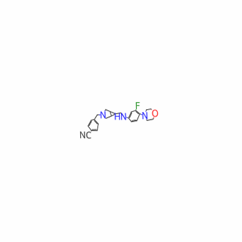 N#Cc1ccc(CN2CC3C(CNc4ccc(N5CCOCC5)c(F)c4)C3C2)cc1